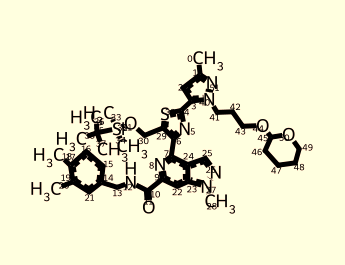 Cc1cc(-c2nc(-c3nc(C(=O)NCc4ccc(C)c(C)c4)cc4c3cnn4C)c(CO[Si](C)(C)C(C)(C)C)s2)n(CCCOC2CCCCO2)n1